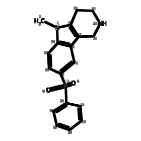 Cn1c2c(c3cc(S(=O)(=O)c4ccccc4)ccc31)CNCC2